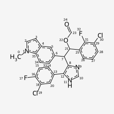 Cn1ccc2cc(C(c3nc[nH]c3-c3ccc(F)c(Cl)c3)C(OC=O)c3cccc(Cl)c3F)ccc21